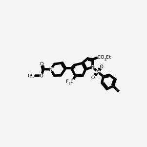 CCOC(=O)c1cc2cc(C3=CCN(C(=O)OC(C)(C)C)CC3)c(C(F)(F)F)cc2n1S(=O)(=O)c1ccc(C)cc1